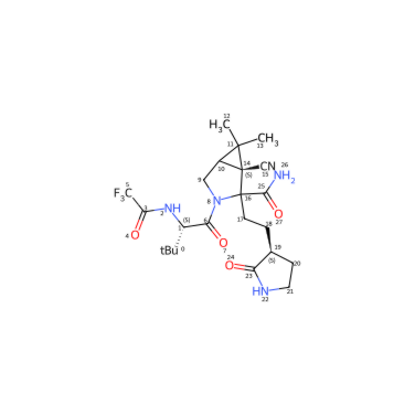 CC(C)(C)[C@H](NC(=O)C(F)(F)F)C(=O)N1CC2C(C)(C)[C@]2(C#N)C1(CC[C@H]1CCNC1=O)C(N)=O